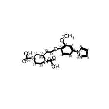 COc1cc(-n2cccn2)ccc1OCC[C@@H]1CN(C(=O)O)CCN1C(=O)O